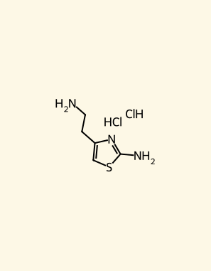 Cl.Cl.NCCc1csc(N)n1